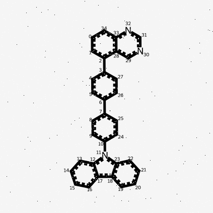 c1cc(-c2ccc(-c3ccc(-n4c5ccccc5c5ccccc54)cc3)cc2)c2cncnc2c1